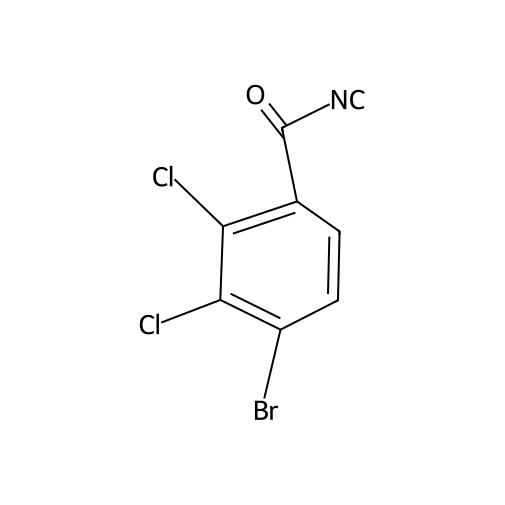 [C-]#[N+]C(=O)c1ccc(Br)c(Cl)c1Cl